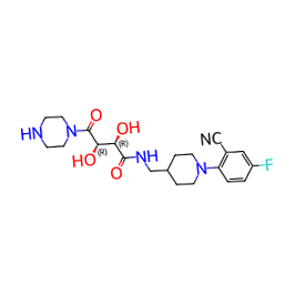 N#Cc1cc(F)ccc1N1CCC(CNC(=O)[C@H](O)[C@@H](O)C(=O)N2CCNCC2)CC1